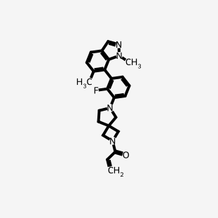 C=CC(=O)N1CC2(CCN(c3cccc(-c4c(C)ccc5cnn(C)c45)c3F)C2)C1